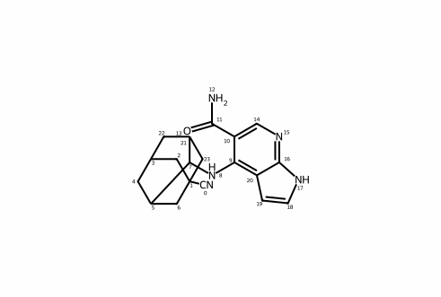 N#CC12CC3CC(C1)C(Nc1c(C(N)=O)cnc4[nH]ccc14)C(C3)C2